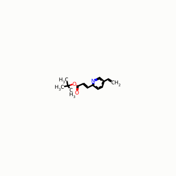 C=Cc1ccc(/C=C/C(=O)OC(C)(C)C)nc1